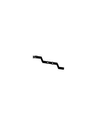 C=CC=C=C=CC=N